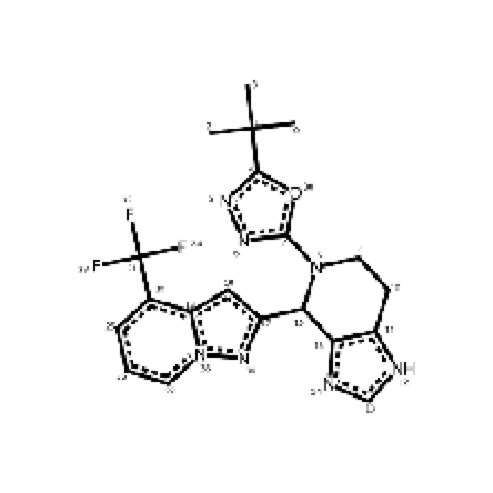 CC(C)(C)c1nnc(N2CCc3[nH]cnc3C2c2cc3c(C(F)(F)F)cccn3n2)o1